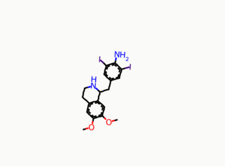 COc1cc2c(cc1OC)C(Cc1cc(I)c(N)c(I)c1)NCC2